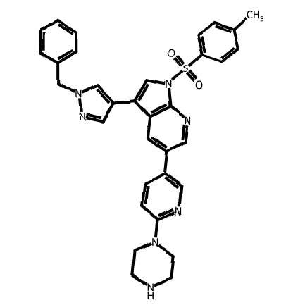 Cc1ccc(S(=O)(=O)n2cc(-c3cnn(Cc4ccccc4)c3)c3cc(-c4ccc(N5CCNCC5)nc4)cnc32)cc1